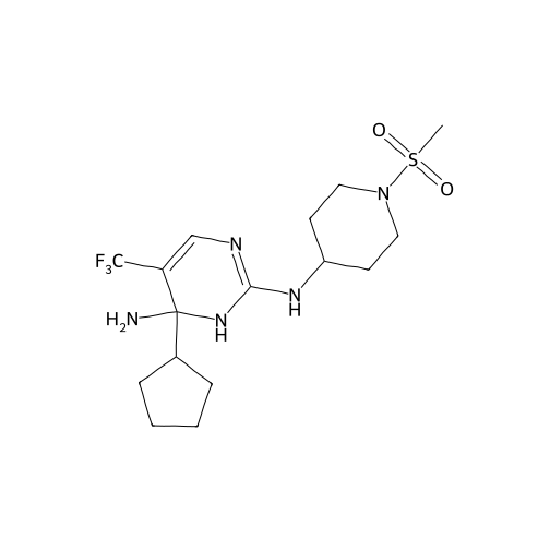 CS(=O)(=O)N1CCC(NC2=NC=C(C(F)(F)F)C(N)(C3CCCC3)N2)CC1